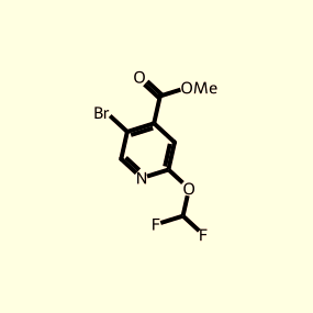 COC(=O)c1cc(OC(F)F)ncc1Br